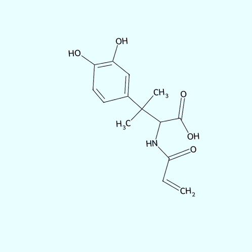 C=CC(=O)NC(C(=O)O)C(C)(C)c1ccc(O)c(O)c1